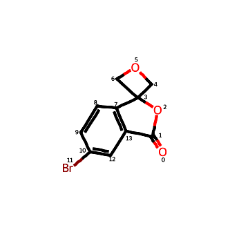 O=C1OC2(COC2)c2ccc(Br)cc21